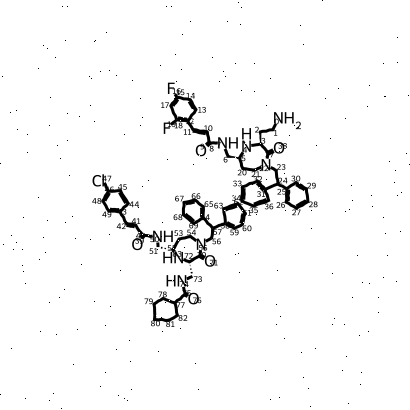 NCC[C@@H]1N[C@H](CNC(=O)C=Cc2ccc(F)cc2F)CCN(CC(c2ccccc2)c2ccccc2)C1=O.O=C(C=Cc1ccc(Cl)cc1)NC[C@@H]1CCN(CC(c2ccccc2)c2ccccc2)C(=O)[C@H](CNC(=O)C2CCCCC2)N1